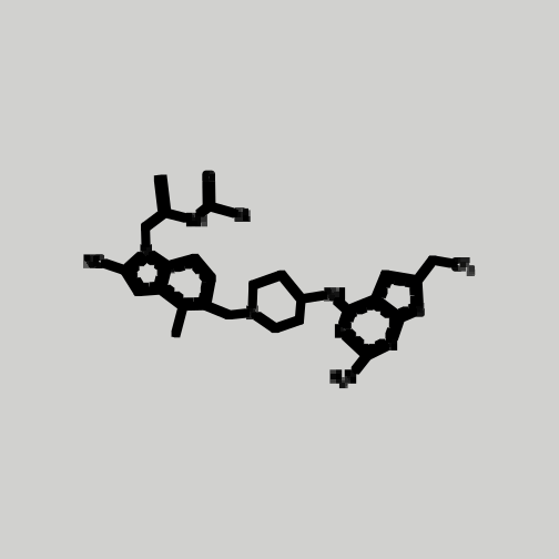 C=C(Cn1c(C#N)cc2c(C)c(CN3CCC(Nc4nc(N)nc5sc(CC(F)(F)F)cc45)CC3)ccc21)NC(=O)CC